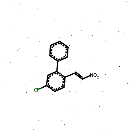 O=[N+]([O-])C=Cc1ccc(Cl)cc1-c1ccccc1